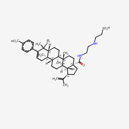 C=C(C)[C@@H]1CC[C@]2(C(=O)NCCNCCS(=O)(=O)O)CC[C@]3(C)[C@H](CC[C@@H]4[C@@]5(C)CC=C(c6ccc(C(=O)O)cc6)C(C)(C)[C@@H]5CC[C@]43C)[C@@H]12